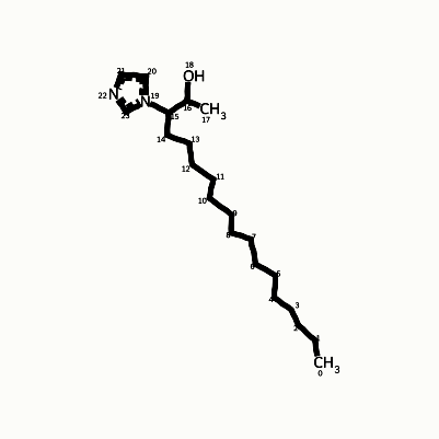 CCCCCCCCCCCCCCCC(C(C)O)n1ccnc1